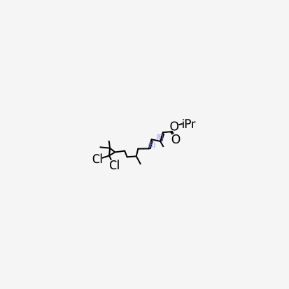 CC(/C=C/CC(C)CCC1C(C)(C)C1(Cl)Cl)=C\C(=O)OC(C)C